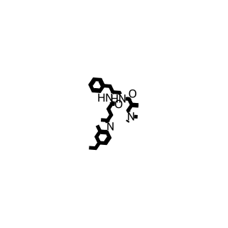 C=C(CN(C)C)C(=O)NCC(Cc1ccccc1)NC(=O)CC/C(C)=N/C1=C(C)CC(CC)C=C1